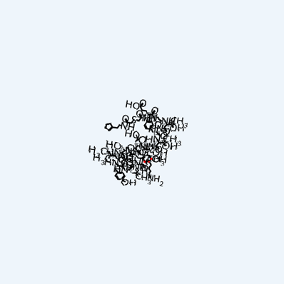 CC[C@H](C)[C@H](NC(=O)[C@H](CO)NC(=O)[C@H](Cc1ccc(O)cc1)NC(=O)[C@H](CC(=O)O)NC(=O)[C@H](CO)NC(=O)[C@@H](NC(=O)[C@H](Cc1ccccc1)NC(=O)[C@@H](NC(=O)CNC(=O)[C@H](CCC(=O)O)NC(=O)CSCC(=O)NCCC1=CCCC1)[C@@H](C)O)[C@@H](C)O)C(=O)N[C@@H](Cc1ccc(O)cc1)C(=O)N[C@@H](CC(C)C)C(=O)N[C@@H](CC(=O)O)C(=O)N[C@H](C)CCCCN